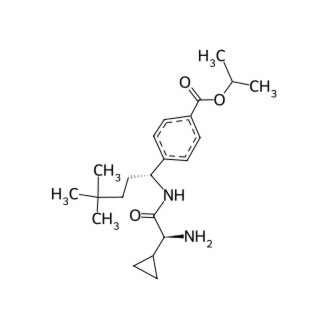 CC(C)OC(=O)c1ccc([C@@H](CCC(C)(C)C)NC(=O)[C@@H](N)C2CC2)cc1